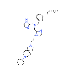 CCOC(=O)CCc1cccc(CN(Cc2ncc[nH]2)Cc2nccn2CCCN2CCC3(CCN(C4CCCCC4)CC3)C2)c1